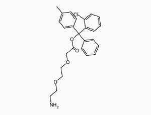 Cc1ccc(C(OC(=O)COCCOCCN)(c2ccccc2)c2ccccc2Cl)cc1